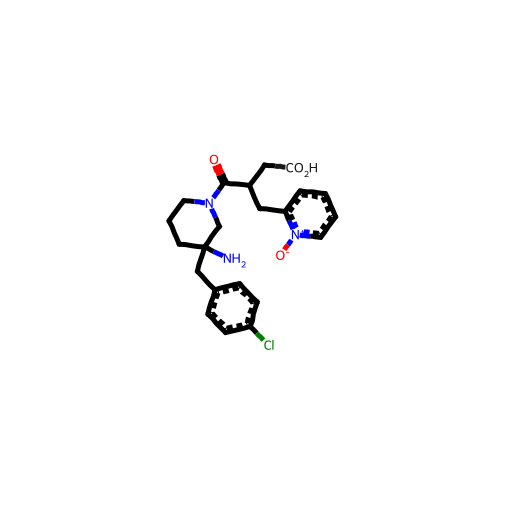 NC1(Cc2ccc(Cl)cc2)CCCN(C(=O)C(CC(=O)O)Cc2cccc[n+]2[O-])C1